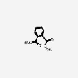 CC(C)COC(=O)c1ccccc1C(=O)OC(C)(C)C